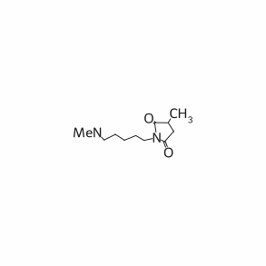 CNCCCCCN1C(=O)CC(C)C1=O